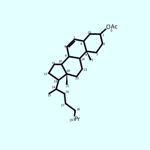 CC(=O)OC1CC[C@@]2(C)C(C=CC3C4CCC(C(C)CCCC(C)C)[C@@]4(C)CCC32)C1